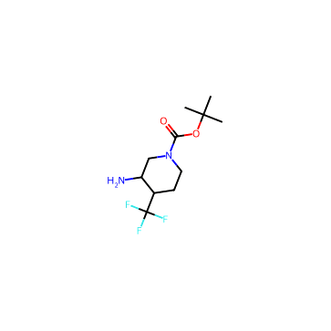 CC(C)(C)OC(=O)N1CCC(C(F)(F)F)C(N)C1